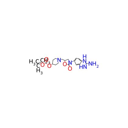 CC(C)(C)OC(=O)OC1CCN(CC2CN(c3ccc(NC(=N)N)cc3)C(=O)O2)CC1